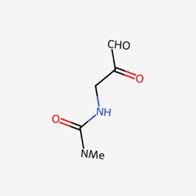 CNC(=O)NCC(=O)C=O